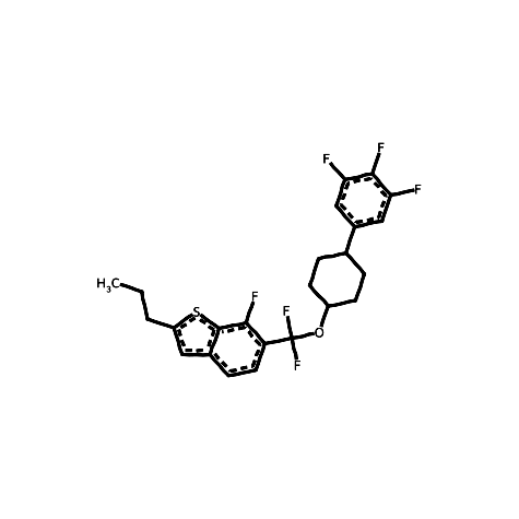 CCCc1cc2ccc(C(F)(F)OC3CCC(c4cc(F)c(F)c(F)c4)CC3)c(F)c2s1